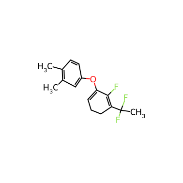 Cc1ccc(OC2=CCCC(C(C)(F)F)=C2F)cc1C